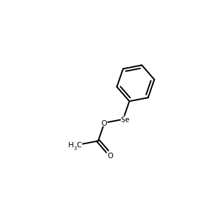 CC(=O)O[Se]c1ccccc1